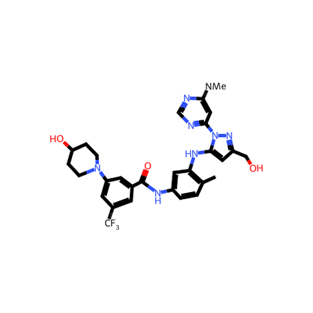 CNc1cc(-n2nc(CO)cc2Nc2cc(NC(=O)c3cc(N4CCC(O)CC4)cc(C(F)(F)F)c3)ccc2C)ncn1